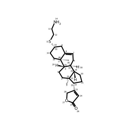 C[C@]12CC[C@H]3[C@@H](CC=C4C[C@@H](SCCN)CC[C@@]43C)[C@@H]1CC[C@@H]2C1=CC(=O)OC1